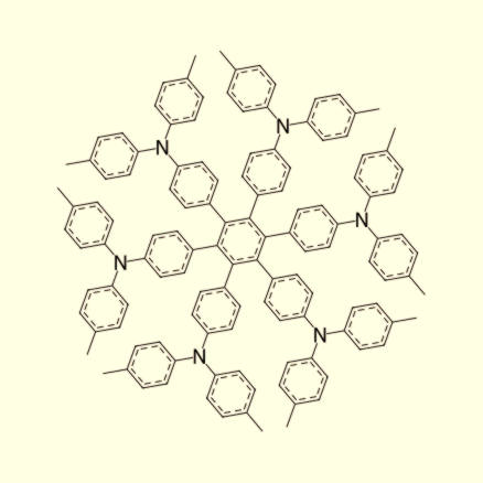 Cc1ccc(N(c2ccc(C)cc2)c2ccc(-c3c(-c4ccc(N(c5ccc(C)cc5)c5ccc(C)cc5)cc4)c(-c4ccc(N(c5ccc(C)cc5)c5ccc(C)cc5)cc4)c(-c4ccc(N(c5ccc(C)cc5)c5ccc(C)cc5)cc4)c(-c4ccc(N(c5ccc(C)cc5)c5ccc(C)cc5)cc4)c3-c3ccc(N(c4ccc(C)cc4)c4ccc(C)cc4)cc3)cc2)cc1